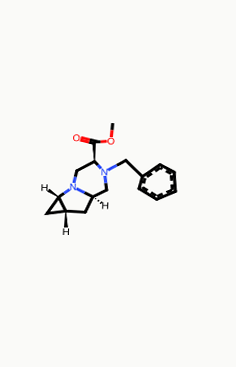 COC(=O)[C@@H]1CN2[C@H](C[C@@H]3C[C@@H]32)CN1Cc1ccccc1